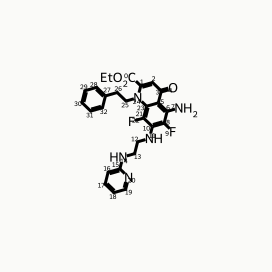 CCOC(=O)c1cc(=O)c2c(N)c(F)c(NCCNc3ccccn3)c(F)c2n1CCc1ccccc1